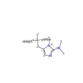 CCCCCCCC(C)(CCCCCC)Cc1cnc(N(C)C)n1C